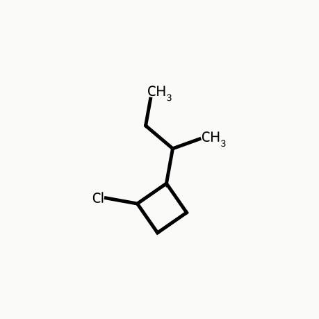 CCC(C)[C]1CCC1Cl